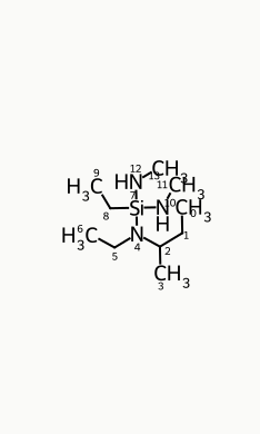 CCC(C)N(CC)[Si](CC)(NC)NC